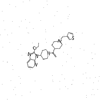 C=C(C1CCN(Cc2ccsc2)CC1)N1CCC(n2c(OCC)nc3cccnc32)CC1